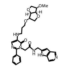 CO[C@@H]1CO[C@H]2[C@@H]1OC[C@H]2OCCCNc1cnc(-c2ccccc2)n(CC(=O)NCc2cc3cnccc3[nH]2)c1=O